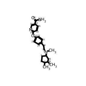 CC1CCC(N(C)CCc2ccc(Oc3ccc(C(N)=O)cn3)cc2)CC1C